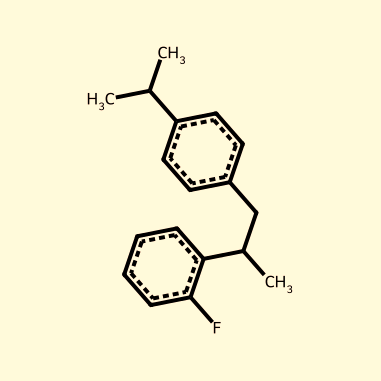 CC(C)c1ccc(CC(C)c2ccccc2F)cc1